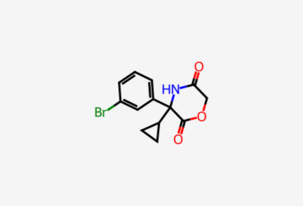 O=C1COC(=O)C(c2cccc(Br)c2)(C2CC2)N1